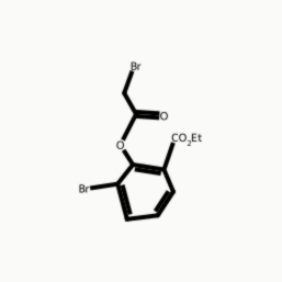 CCOC(=O)c1cccc(Br)c1OC(=O)CBr